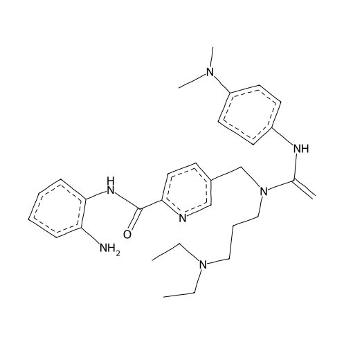 C=C(Nc1ccc(N(C)C)cc1)N(CCCN(CC)CC)Cc1ccc(C(=O)Nc2ccccc2N)nc1